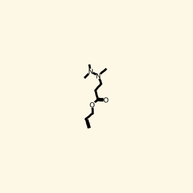 C=CCOC(=O)CCN(C)N(C)C